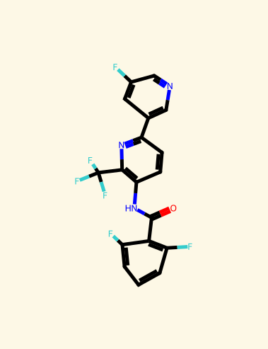 O=C(Nc1ccc(-c2cncc(F)c2)nc1C(F)(F)F)c1c(F)cccc1F